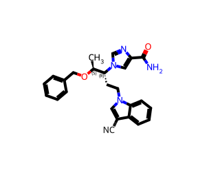 C[C@H](OCc1ccccc1)[C@@H](CCn1cc(C#N)c2ccccc21)n1cnc(C(N)=O)c1